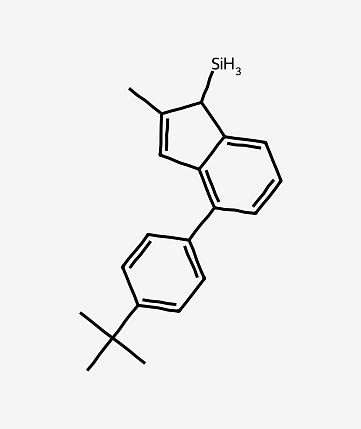 CC1=Cc2c(-c3ccc(C(C)(C)C)cc3)cccc2C1[SiH3]